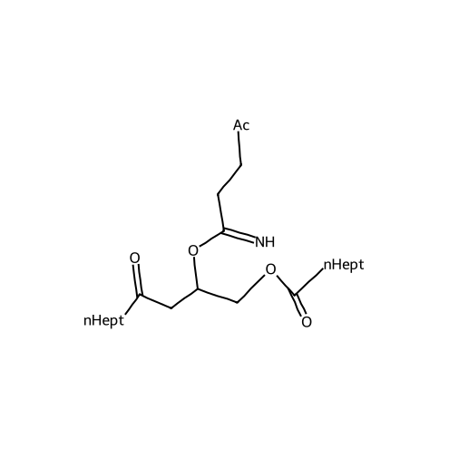 CCCCCCCC(=O)CC(COC(=O)CCCCCCC)OC(=N)CCC(C)=O